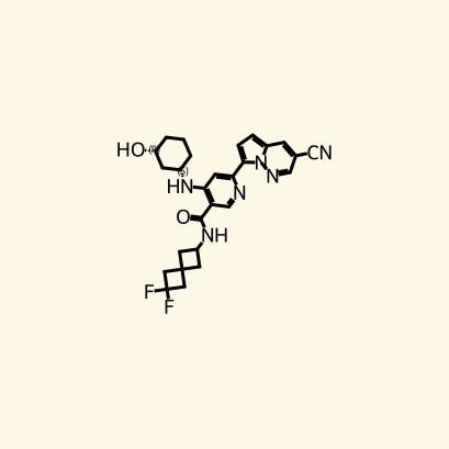 N#Cc1cnn2c(-c3cc(N[C@H]4CCC[C@@H](O)C4)c(C(=O)NC4CC5(C4)CC(F)(F)C5)cn3)ccc2c1